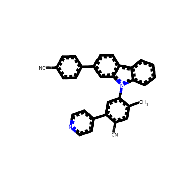 Cc1cc(C#N)c(-c2ccncc2)cc1-n1c2ccccc2c2ccc(-c3ccc(C#N)cc3)cc21